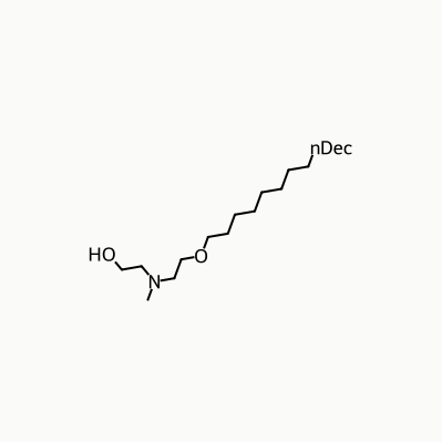 CCCCCCCCCCCCCCCCCCOCCN(C)CCO